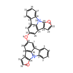 c1ccc2c(c1)c1cc(Oc3cc4c5ccccc5n5c6occc6c(c3)c45)cc3c4ccoc4n2c13